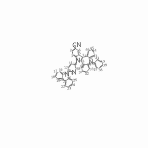 N#Cc1ccc2c(c1)c1c(n2-c2ccc(-n3c4ccccc4c4ccccc43)nc2)-c2ccccc2N(c2ccccc2)c2ccccc2-1